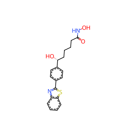 O=C(CCCC[C@@H](O)c1ccc(-c2nc3ccccc3s2)cc1)NO